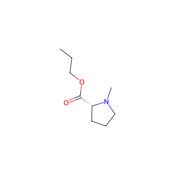 CCCOC(=O)[C@H]1CCCN1C